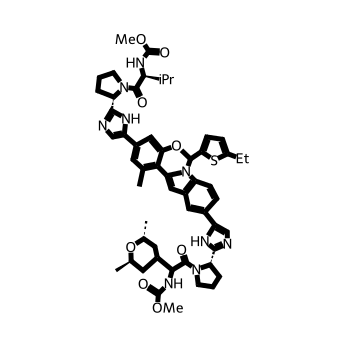 CCc1ccc(C2Oc3cc(-c4cnc([C@@H]5CCCN5C(=O)[C@@H](NC(=O)OC)C(C)C)[nH]4)cc(C)c3-c3cc4cc(-c5cnc([C@@H]6CCCN6C(=O)C(NC(=O)OC)C6C[C@@H](C)O[C@H](C)C6)[nH]5)ccc4n32)s1